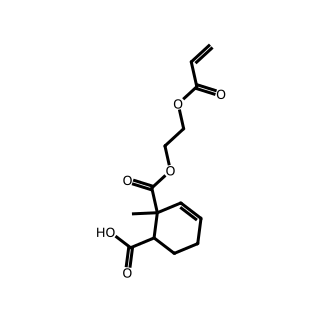 C=CC(=O)OCCOC(=O)C1(C)C=CCCC1C(=O)O